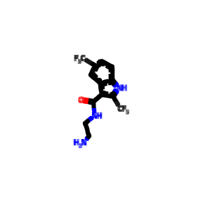 NCCNC(=O)c1c(C(F)(F)F)[nH]c2ccc(C(F)(F)F)cc12